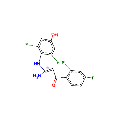 N/C(=C\C(=O)c1ccc(F)cc1F)Nc1c(F)cc(O)cc1F